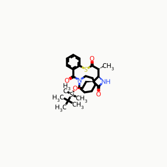 C[C@@H](C(=O)Sc1ccccc1C(=O)N1CCCCCC1)[C@H]1NC(=O)[C@H]1CCO[Si](C)(C)C(C)(C)C